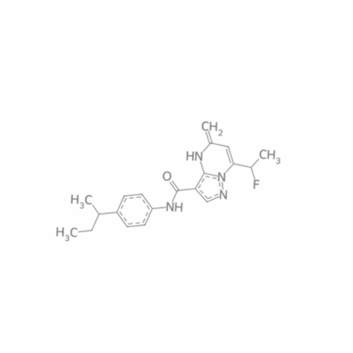 C=C1C=C(C(C)F)n2ncc(C(=O)Nc3ccc(C(C)CC)cc3)c2N1